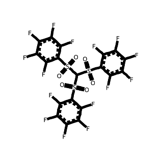 O=S(=O)(c1c(F)c(F)c(F)c(F)c1F)C(S(=O)(=O)c1c(F)c(F)c(F)c(F)c1F)S(=O)(=O)c1c(F)c(F)c(F)c(F)c1F